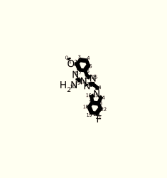 COc1cccc2c1nc(N)n1nc(CN3Cc4ccc(F)cc4C3)nc21